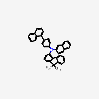 CC1(C)c2ccccc2-c2c(N(c3ccc(-c4cccc5ccccc45)cc3)c3ccc4ccccc4c3)cccc21